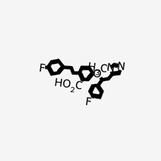 Cn1cncc1CC(Oc1ccc(CCc2ccc(F)cc2)c(C(=O)O)c1)c1ccc(F)cc1